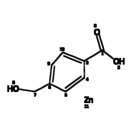 O=C(O)c1ccc(CO)cc1.[Zn]